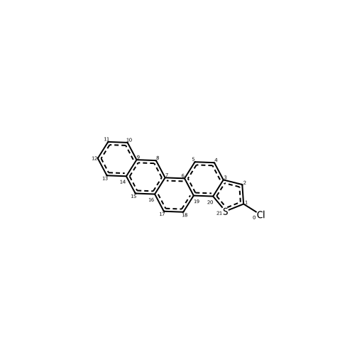 Clc1cc2ccc3c4cc5ccccc5cc4ccc3c2s1